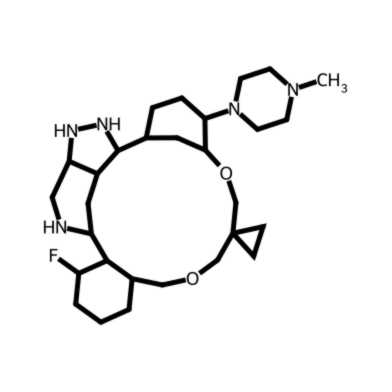 CN1CCN(C2CCC3CC2OCC2(CC2)COCC2CCCC(F)C2C2CC4C(CN2)NNC34)CC1